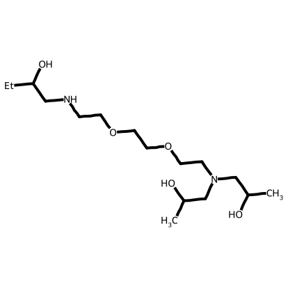 CCC(O)CNCCOCCOCCN(CC(C)O)CC(C)O